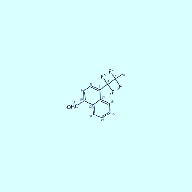 CC(F)(F)C(F)(F)c1ccc([C]=O)c2ccccc12